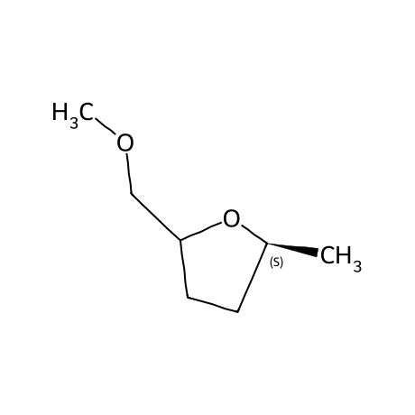 COCC1CC[C@H](C)O1